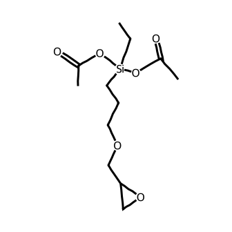 CC[Si](CCCOCC1CO1)(OC(C)=O)OC(C)=O